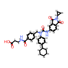 O=C(O)CCNC(=O)c1ccc(CN(C(=O)Nc2ccc3c(c2)C(=O)N(C2CC2)C3=O)c2ccc(C3CCCCC3)cc2)cc1